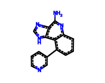 Nc1nc2cccc(-c3cccnc3)c2c2[nH]cnc12